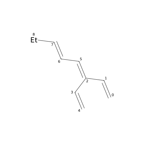 C=CC(C=C)=CC=CCC